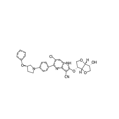 N#Cc1c(O[C@@H]2CO[C@H]3[C@@H]2OC[C@H]3O)[nH]c2cc(Cl)c(-c3ccc(N4CC[C@@H](Oc5ccccc5)C4)cc3)nc12